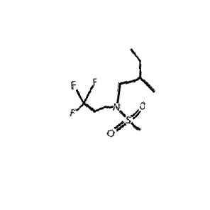 CCC(C)CN(CC(F)(F)F)S(C)(=O)=O